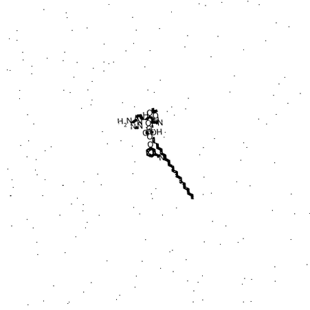 CCCCCCCCCCCCCCCCCCCC[C@H](COP(=O)(O)OC[C@@]1(C#N)O[C@@H](c2ccc3c(N)ncnn23)[C@@H]2OC(C)(C)O[C@@H]21)Oc1cccc(C#N)c1